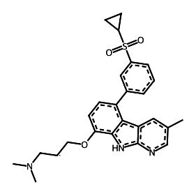 Cc1cnc2[nH]c3c(OC[CH]CN(C)C)ccc(-c4cccc(S(=O)(=O)C5CC5)c4)c3c2c1